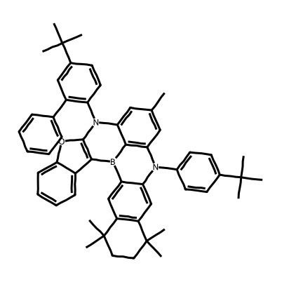 Cc1cc2c3c(c1)N(c1ccc(C(C)(C)C)cc1-c1ccccc1)c1oc4ccccc4c1B3c1cc3c(cc1N2c1ccc(C(C)(C)C)cc1)C(C)(C)CCC3(C)C